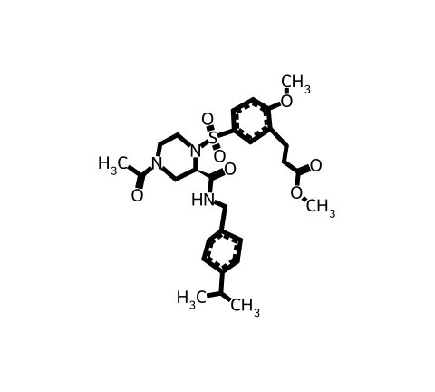 COC(=O)CCc1cc(S(=O)(=O)N2CCN(C(C)=O)C[C@@H]2C(=O)NCc2ccc(C(C)C)cc2)ccc1OC